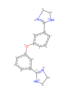 c1cc(Oc2cccc(C3=NCCN3)c2)cc(C2=NCCN2)c1